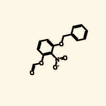 O=COc1cccc(OCc2ccccc2)c1[N+](=O)[O-]